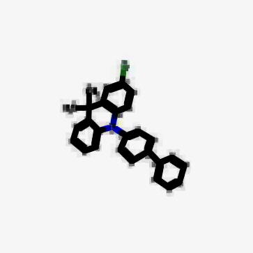 CC1(C)c2ccccc2N(c2ccc(-c3ccccc3)cc2)c2ccc(Br)cc21